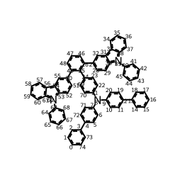 c1ccc(-c2ccc(N(c3ccc(-c4ccccc4)cc3)c3ccc(-c4c(-c5ccc6c(c5)c5ccccc5n6-c5ccccc5)cccc4-c4ccc5c(c4)c4ccccc4n5-c4ccccc4)cc3)cc2)cc1